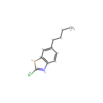 CCCCc1ccc2nc(Br)sc2c1